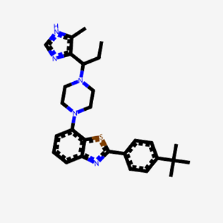 CCC(c1nc[nH]c1C)N1CCN(c2cccc3nc(-c4ccc(C(C)(C)C)cc4)sc23)CC1